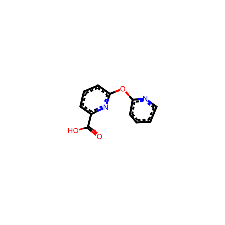 O=C(O)c1cccc(Oc2ccccn2)n1